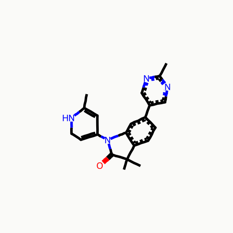 CC1=CC(N2C(=O)C(C)(C)c3ccc(-c4cnc(C)nc4)cc32)=CCN1